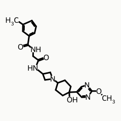 COc1ncc(C2(O)CCC(N3CC(NC(=O)CNC(=O)c4cccc(C)c4)C3)CC2)cn1